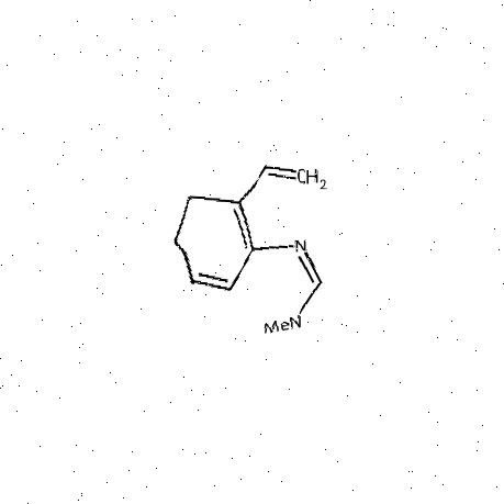 C=CC1=C(/N=C\NC)C=CCC1